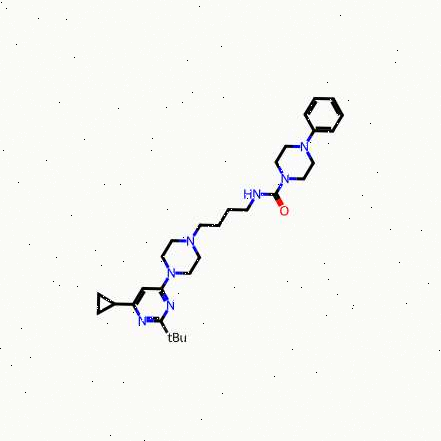 CC(C)(C)c1nc(C2CC2)cc(N2CCN(CCCCNC(=O)N3CCN(c4ccccc4)CC3)CC2)n1